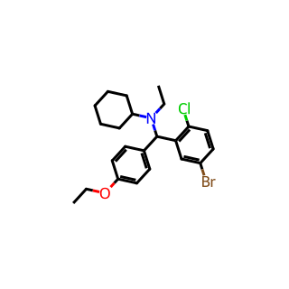 CCOc1ccc(C(c2cc(Br)ccc2Cl)N(CC)C2CCCCC2)cc1